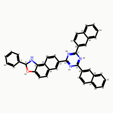 c1ccc(C2Nc3c(ccc4cc(-c5nc(-c6ccc7ccccc7c6)nc(-c6ccc7ccccc7c6)n5)ccc34)O2)cc1